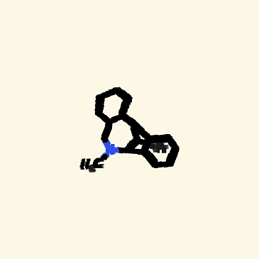 CC(C)C1C2C3=CCC=CC3=CN(C)C1c1ccccc12